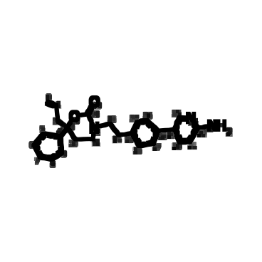 C=CC[C@]1(c2ccccc2)CCN(CCc2ccc(-c3ccc(N)nc3)cc2)C(=O)O1